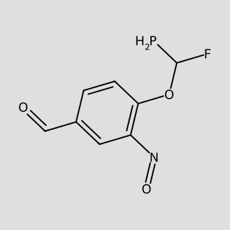 O=Cc1ccc(OC(F)P)c(N=O)c1